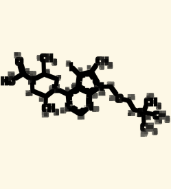 Cc1c(I)c2c(N3CC(C)N(C(=O)O)CC3C)ncnc2n1COCC[Si](C)(C)C